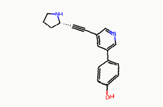 Oc1ccc(-c2cncc(C#C[C@@H]3CCCN3)c2)cc1